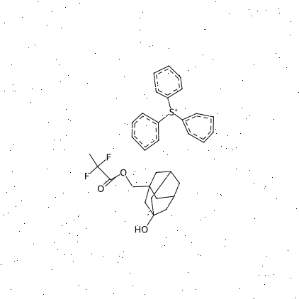 CC(F)(F)C(=O)OCC12CC3CC(CC(O)(C3)C1)C2.c1ccc([S+](c2ccccc2)c2ccccc2)cc1